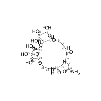 C[C@@H]1O[C@H]2OCCNC(=O)CN(CC(N)=O)CC(=O)NCCO[C@@H]3O[C@@H](O[C@H]2[C@H](O)[C@@H]1O)[C@@H](O)[C@@H](O)[C@@H]3O